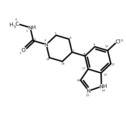 CNC(=O)N1CCC(c2cc(Cl)cc3[nH]ncc23)CC1